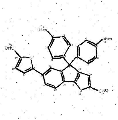 CCCCCCc1ccc(C2(c3ccc(CCCCCC)cc3)c3cc(-c4ccc(C=O)s4)ccc3-c3sc(C=O)cc32)cc1